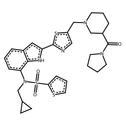 O=C(C1CCCN(Cc2cnc(-c3cc4cccc(N(CC5CC5)S(=O)(=O)c5cccs5)c4[nH]3)s2)C1)N1CCCC1